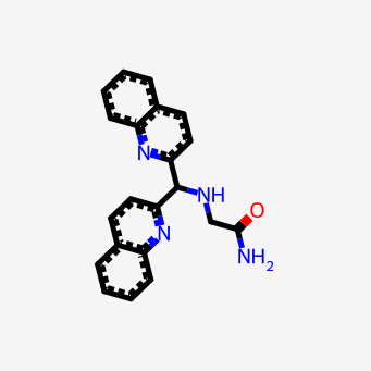 NC(=O)CNC(c1ccc2ccccc2n1)c1ccc2ccccc2n1